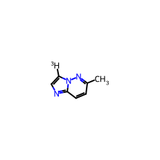 [3H]c1cnc2ccc(C)nn12